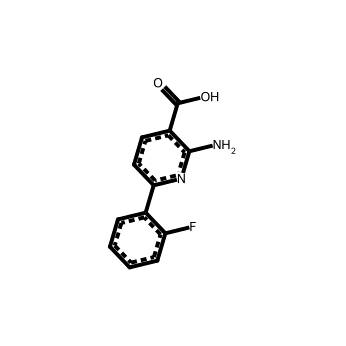 Nc1nc(-c2ccccc2F)ccc1C(=O)O